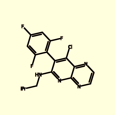 CC(C)CNc1nc2nccnc2c(Cl)c1-c1c(F)cc(F)cc1F